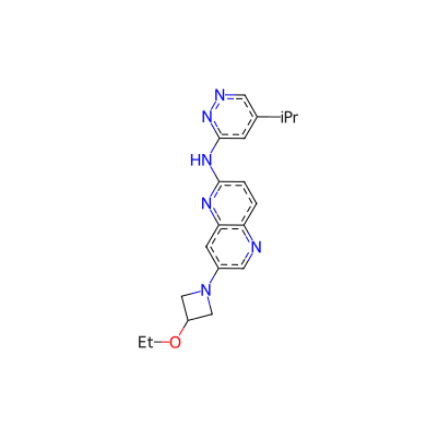 CCOC1CN(c2cnc3ccc(Nc4cc(C(C)C)cnn4)nc3c2)C1